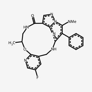 CNc1c(-c2ccccc2)c2nc3c(cnn13)C(=O)NCC(C)Oc1ncc(F)cc1CN2